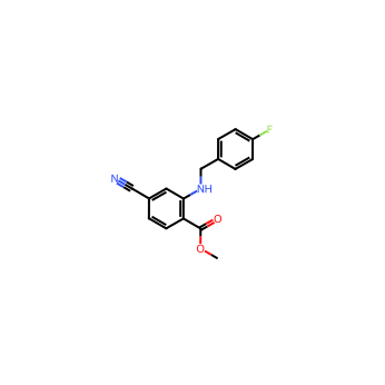 COC(=O)c1ccc(C#N)cc1NCc1ccc(F)cc1